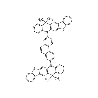 CC1(C)c2ccccc2N(c2ccc3c(ccc4cc(N5c6ccccc6C(C)(C)c6cc7c(cc65)sc5ccccc57)ccc43)c2)c2cc3sc4ccccc4c3cc21